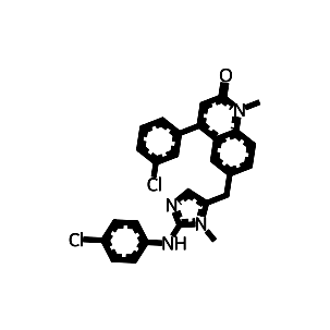 Cn1c(Cc2ccc3c(c2)c(-c2cccc(Cl)c2)cc(=O)n3C)cnc1Nc1ccc(Cl)cc1